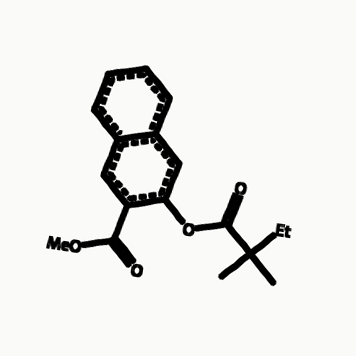 CCC(C)(C)C(=O)Oc1cc2ccccc2cc1C(=O)OC